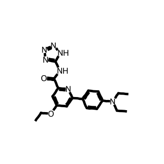 CCOc1cc(C(=O)Nc2nnn[nH]2)nc(-c2ccc(N(CC)CC)cc2)c1